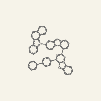 c1ccc(-c2ccc(-c3nc(-c4cccc5sc6cc(-n7c8ccccc8c8ccc9ccccc9c87)ccc6c45)nc4c3sc3ccccc34)cc2)cc1